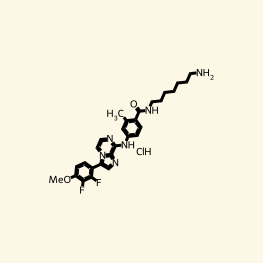 COc1ccc(-c2cnc3c(Nc4ccc(C(=O)NCCCCCCCN)c(C)c4)nccn23)c(F)c1F.Cl